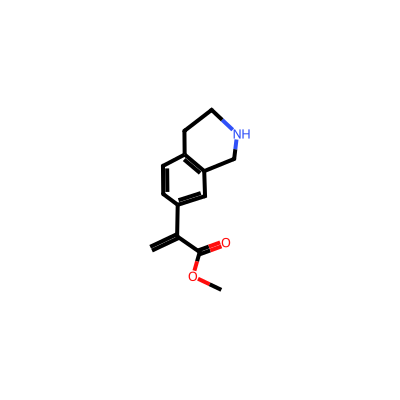 C=C(C(=O)OC)c1ccc2c(c1)CNCC2